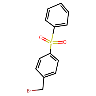 O=S(=O)(c1ccccc1)c1ccc(CBr)cc1